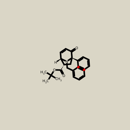 CC(C)(C)OC(=O)[C@H]1C[C@@]2(c3ccccc3)C(=O)C=C[C@@H]1N2Cc1ccccc1